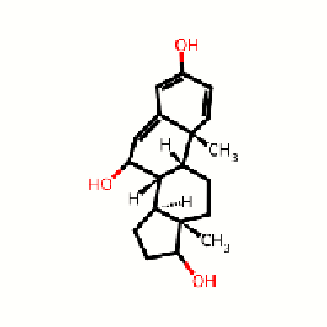 C[C@]12C=CC(O)=CC1=CC(O)[C@@H]1[C@H]2CC[C@]2(C)C(O)CC[C@@H]12